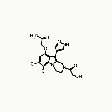 NC(=O)COc1cc(Cl)c(Cl)c2c1c(-c1cn[nH]c1)c1n2CCN(C(=O)CO)C1